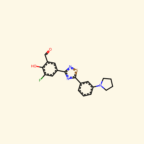 O=Cc1cc(-c2nsc(-c3cccc(N4CCCC4)c3)n2)cc(F)c1O